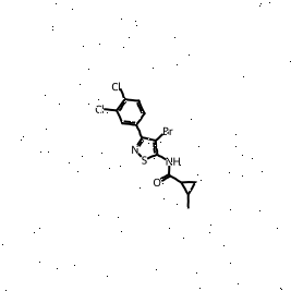 CC1CC1C(=O)Nc1snc(-c2ccc(Cl)c(Cl)c2)c1Br